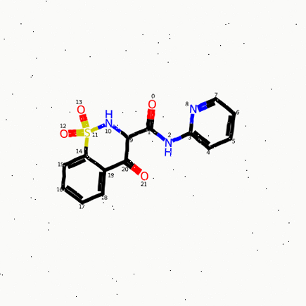 O=C(Nc1ccccn1)C1NS(=O)(=O)c2ccccc2C1=O